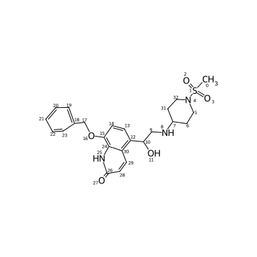 CS(=O)(=O)N1CCC(NCC(O)c2ccc(OCc3ccccc3)c3[nH]c(=O)ccc23)CC1